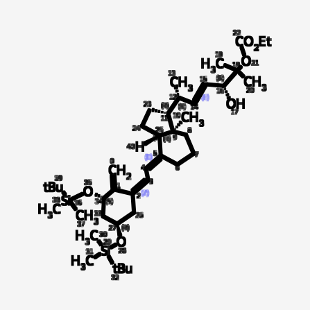 C=C1/C(=C\C=C2/CCC[C@]3(C)[C@@H]([C@H](C)/C=C/[C@@H](O)C(C)(C)OC(=O)OCC)CC[C@@H]23)C[C@@H](O[Si](C)(C)C(C)(C)C)C[C@@H]1O[Si](C)(C)C(C)(C)C